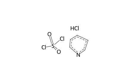 Cl.O=S(=O)(Cl)Cl.c1ccncc1